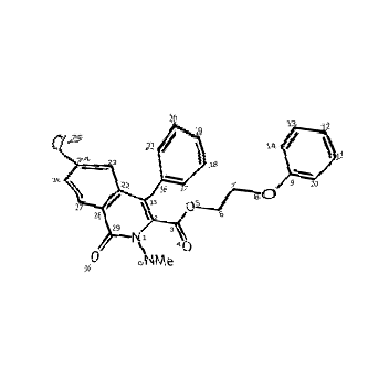 CNn1c(C(=O)OCCOc2ccccc2)c(-c2ccccc2)c2cc(Cl)ccc2c1=O